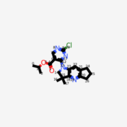 CC(C)OC(=O)c1cnc(Cl)nc1N1CC(C)(C)c2nc3c(cc21)CCC3